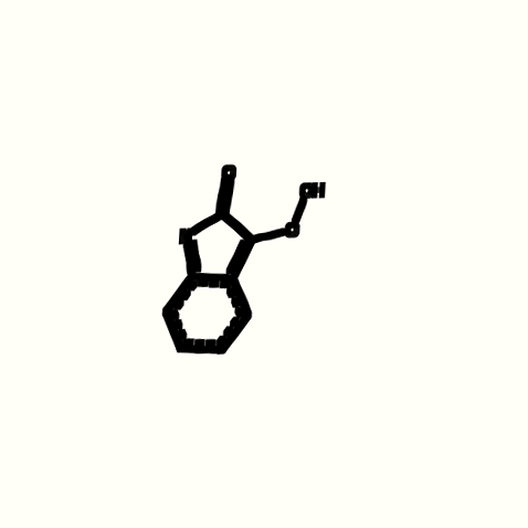 O=C1N=c2ccccc2=C1OO